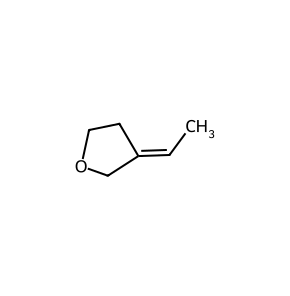 C/C=C1\CCOC1